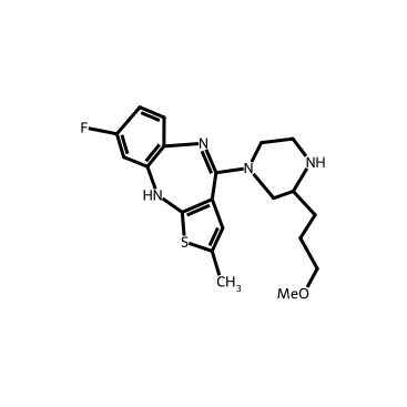 COCCCC1CN(C2=Nc3ccc(F)cc3Nc3sc(C)cc32)CCN1